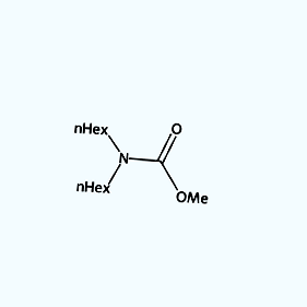 CCCCCCN(CCCCCC)C(=O)OC